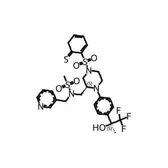 C[C@](O)(c1ccc(N2CCN(S(=O)(=O)C3=CC=CCC3=S)C[C@@H]2CN(Cc2cccnc2)S(C)(=O)=O)cc1)C(F)(F)F